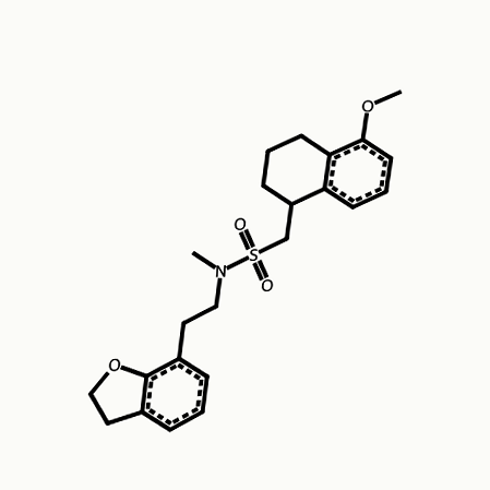 COc1cccc2c1CCCC2CS(=O)(=O)N(C)CCc1cccc2c1OCC2